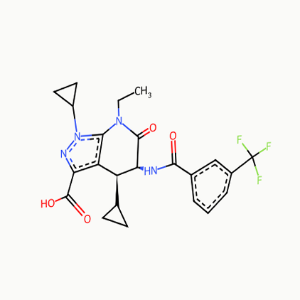 CCN1C(=O)[C@@H](NC(=O)c2cccc(C(F)(F)F)c2)[C@@H](C2CC2)c2c(C(=O)O)nn(C3CC3)c21